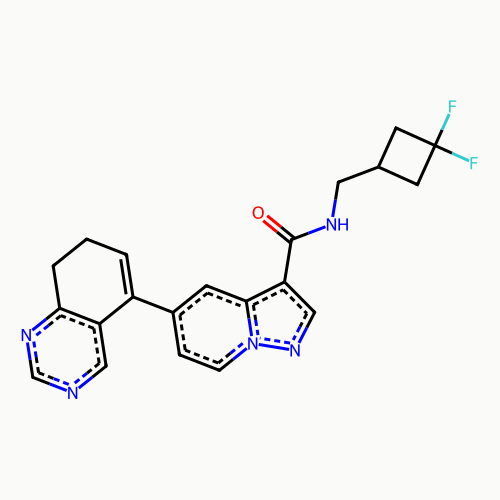 O=C(NCC1CC(F)(F)C1)c1cnn2ccc(C3=CCCc4ncncc43)cc12